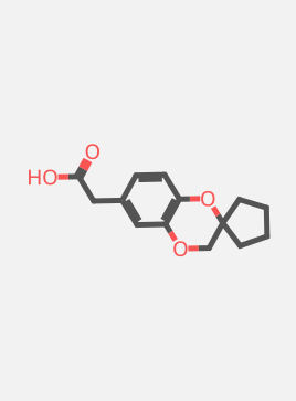 O=C(O)Cc1ccc2c(c1)OCC1(CCCC1)O2